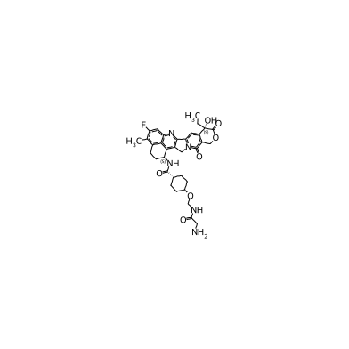 CC[C@@]1(O)C(=O)OCc2c1cc1n(c2=O)Cc2c-1nc1cc(F)c(C)c3c1c2[C@@H](NC(=O)[C@H]1CC[C@H](OCNC(=O)CN)CC1)CC3